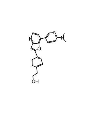 CN(C)c1ccc(-c2ccnc3cc(-c4ccc(CCO)cc4)oc23)cn1